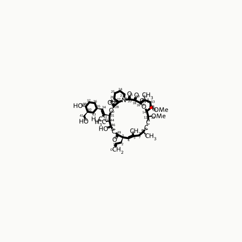 C=CC[C@@H]1/C=C(\C)C[C@H](C)CC[C@H](OC)[C@H]2O[C@@](O)(C(=O)C(=O)N3CCCC[C@H]3C(=O)O[C@H](/C(C)=C/[C@@H]3CC[C@@H](O)[C@H](CO)C3)[C@H](C)C(O)CC1=O)[C@H](C)C[C@@H]2OC